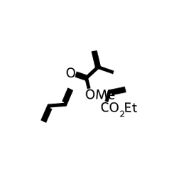 C=C(C)C(=O)OC.C=CC(=O)OCC.C=CC=C